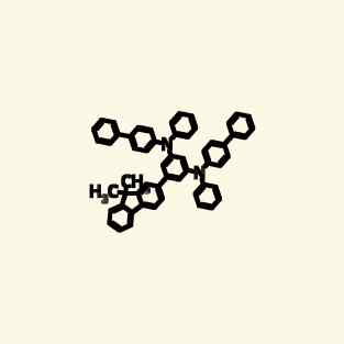 CC1(C)c2ccccc2-c2ccc(-c3cc(N(c4ccccc4)c4ccc(-c5ccccc5)cc4)cc(N(c4ccccc4)c4ccc(-c5ccccc5)cc4)c3)cc21